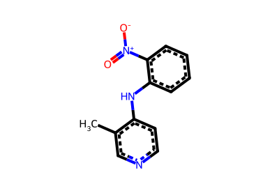 Cc1cnccc1Nc1ccccc1[N+](=O)[O-]